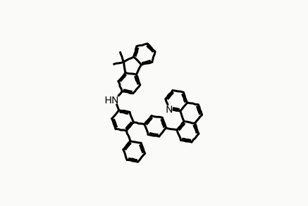 CC1(C)c2ccccc2-c2ccc(Nc3ccc(-c4ccccc4)c(-c4ccc(-c5cccc6ccc7cccnc7c56)cc4)c3)cc21